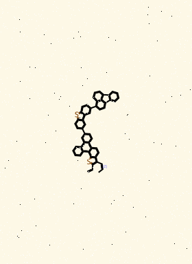 C=Cc1sc2c(ccc3c4ccc(-c5ccc6sc7ccc(-c8ccc9c%10c(cccc8%10)-c8ccccc8-9)cc7c6c5)cc4c4ccccc4c32)c1/C=C\C